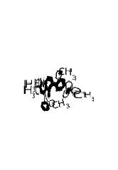 COC(=O)Oc1ccc(-c2ccc3c4c2CN(c2ccccc2OC)C4=CC(C)(C)N3)c(OC)c1